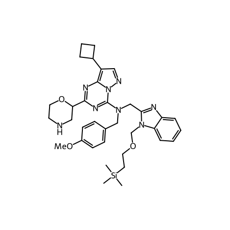 COc1ccc(CN(Cc2nc3ccccc3n2COCC[Si](C)(C)C)c2nc(C3CNCCO3)nc3c(C4CCC4)cnn23)cc1